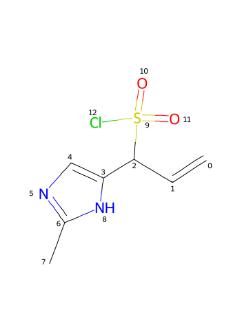 C=CC(c1cnc(C)[nH]1)S(=O)(=O)Cl